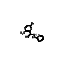 N=C(NNc1ccccn1)c1nc(Br)cnc1N